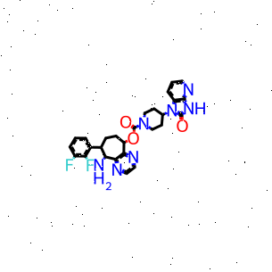 NC1c2nccnc2C(OC(=O)N2CCC(n3c(=O)[nH]c4ncccc43)CC2)CCC1c1cccc(F)c1F